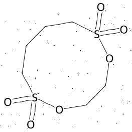 O=S1(=O)CCCCS(=O)(=O)OCCO1